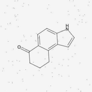 O=C1CCCc2c1ccc1[nH]ccc21